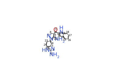 Nc1nc2cc(-n3ncc(C(=O)c4cc5ccccc5[nH]4)c3N)ccc2[nH]1